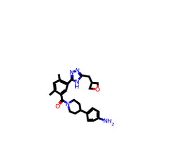 Cc1cc(C)c(-c2nnc(CC3COC3)[nH]2)cc1C(=O)N1CCC(c2ccc(N)cc2)CC1